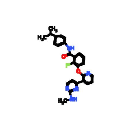 CNc1nccc(-c2cccnc2Oc2cccc(C(=O)Nc3ccc(C(C)C)cc3)c2F)n1